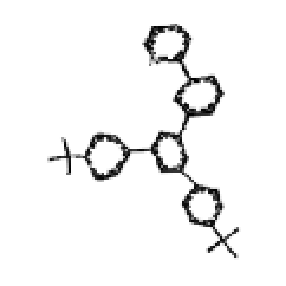 CC(C)(C)c1ccc(-c2cc(-c3ccc(C(C)(C)C)cc3)cc(-c3cccc(-c4ccccn4)c3)c2)cc1